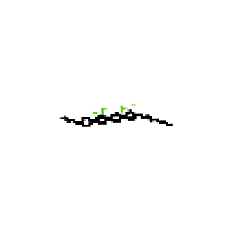 C/C=C/CCC1CCC(c2ccc(-c3ccc(-c4ccc(CCCCCCCCC)c(F)c4F)cc3)c(F)c2F)CC1